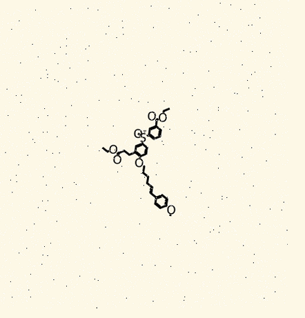 CCOC(=O)CCc1cc([S+]([O-])c2cccc(C(=O)OCC)c2)ccc1OCCCCC=Cc1ccc(OC)cc1